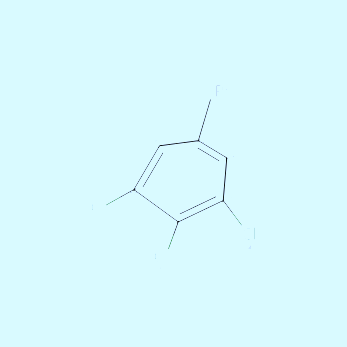 [CH2]C(C)c1cc(Cl)c(Cl)c(Cl)c1